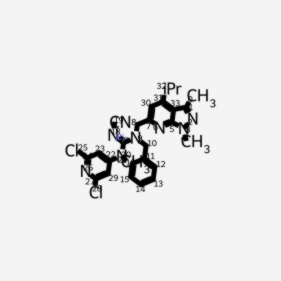 Cc1nn(C)c2nc(CN(Cc3ccccc3)/C(=N\C#N)N(C)c3cc(Cl)nc(Cl)c3)cc(C(C)C)c12